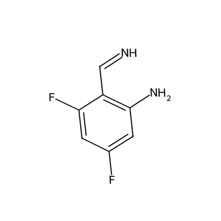 N=Cc1c(N)cc(F)cc1F